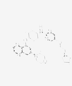 c1cnc2c(O[C@H]3CC[C@@H](Nc4ncc(OCCN5CCCC5)cn4)CC3)cc(N3CCOCC3)cc2n1